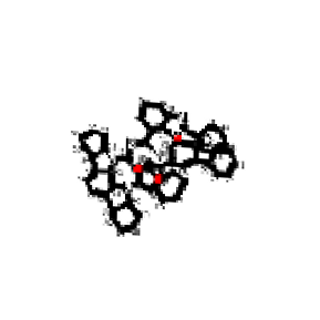 c1ccc(-c2nc(-c3cccc4nc(-c5ccccc5)oc34)nc(-n3c4ccccc4c4ccc5c6ccccc6n(-c6ccc(-c7ccc8oc9ccccc9c8c7)cc6)c5c43)n2)cc1